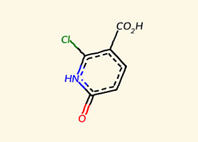 O=C(O)c1ccc(=O)[nH]c1Cl